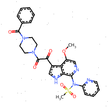 COc1cnc(N(c2ccccn2)S(C)(=O)=O)c2[nH]cc(C(=O)C(=O)N3CCN(C(=O)c4ccccc4)CC3)c12